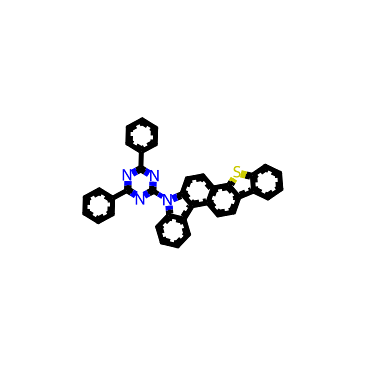 c1ccc(-c2nc(-c3ccccc3)nc(-n3c4ccccc4c4c5ccc6c7ccccc7sc6c5ccc43)n2)cc1